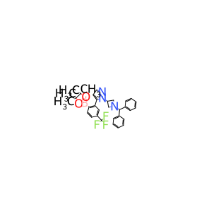 CC1(C)OB(c2ccc(C(F)(F)F)cc2-c2ccnn2C2CN(C(c3ccccc3)c3ccccc3)C2)OC1(C)C